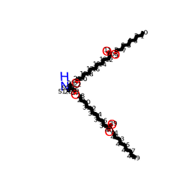 CCCCCCCCCOC(=O)CCCCCCCCCCOCC(C)(COCCCCCCCCCCC(=O)OCCCCCCCCC)NC